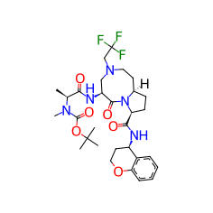 C[C@@H](C(=O)N[C@H]1CN(CC(F)(F)F)CC[C@H]2CC[C@@H](C(=O)N[C@@H]3CCOc4ccccc43)N2C1=O)N(C)C(=O)OC(C)(C)C